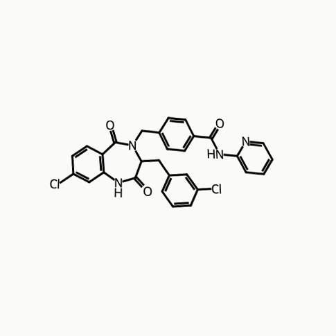 O=C(Nc1ccccn1)c1ccc(CN2C(=O)c3ccc(Cl)cc3NC(=O)C2Cc2cccc(Cl)c2)cc1